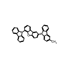 Cc1ccc2c(c1)c1ccccc1n2-c1ccc2oc3c(-n4c5ccccc5c5ccccc54)cccc3c2c1